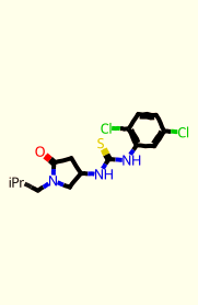 CC(C)CN1CC(NC(=S)Nc2cc(Cl)ccc2Cl)CC1=O